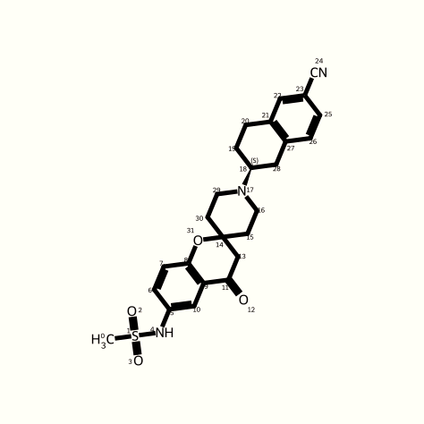 CS(=O)(=O)Nc1ccc2c(c1)C(=O)CC1(CCN([C@H]3CCc4cc(C#N)ccc4C3)CC1)O2